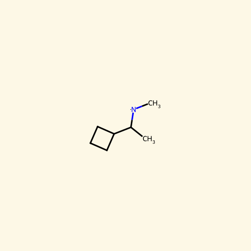 C[N]C(C)C1CCC1